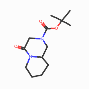 CC(C)(C)OC(=O)N1CC(=O)N2CCCCC2C1